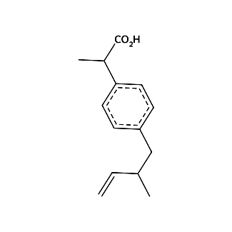 C=CC(C)Cc1ccc(C(C)C(=O)O)cc1